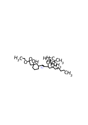 CCCCCCCC(/C=C/C1CCCC(O)(CC(=O)OCC)C1)O[Si](C)(C)C(C)(C)C